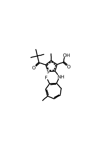 CC1=CC(F)=C(Nc2sc(C(=O)C(C)(C)C)c(C)c2C(=O)O)CC=C1